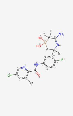 CCc1cc(Cl)cnc1C(=O)Nc1ccc(F)c(C2(C)CS(O)(O)C(C)(C)C(N)=N2)c1